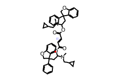 CN(CC1CC1)C(CC1(c2ccccc2)COc2ccccc21)OC(=O)/C=C/C(=O)OC(CC1(c2ccccc2)COc2ccccc21)N(C)CC1CC1